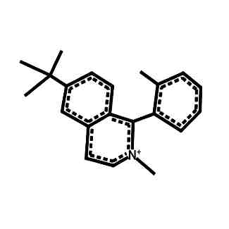 Cc1ccccc1-c1c2ccc(C(C)(C)C)cc2cc[n+]1C